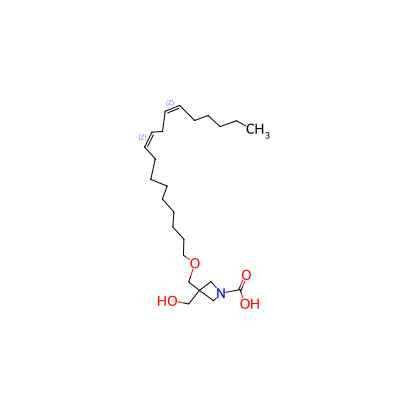 CCCCC/C=C\C/C=C\CCCCCCCCOCC1(CO)CN(C(=O)O)C1